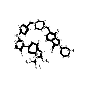 Cc1nc2c(F)cc(-c3nc(Nc4ccc(CN5CCN(Cc6ccc7c(c6Br)CN(C6CCCNC6)C7=O)CC5)cn4)ncc3F)cc2n1C(C)C